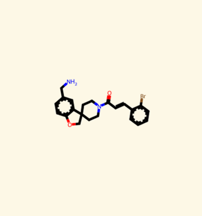 NCc1ccc2c(c1)C1(CCN(C(=O)C=Cc3ccccc3Br)CC1)CO2